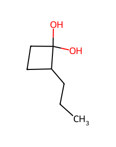 CCCC1CCC1(O)O